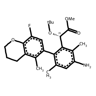 COC(=O)[C@@H](OC(C)(C)C)c1c(C)c(N)cc(C)c1-c1cc(F)c2c(c1C)CCCO2